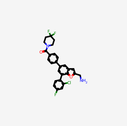 NCc1cc2cc(-c3ccc(C(=O)N4CCC(F)(F)CC4)cc3)cc(-c3ccc(F)cc3Cl)c2o1